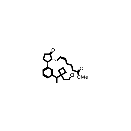 COC(=O)CCC/C=C\C[C@H]1C(=O)CC[C@@H]1c1cccc(C(C)C2(CCCl)CCC2)c1